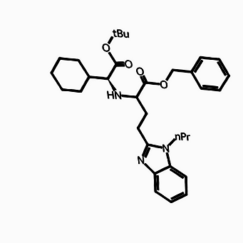 CCCn1c(CCC(N[C@H](C(=O)OC(C)(C)C)C2CCCCC2)C(=O)OCc2ccccc2)nc2ccccc21